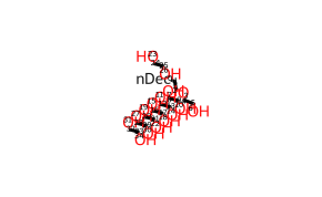 CCCCCCCCCCCCOCCO.OCCO.OCCO.OCCO.OCCO.OCCO.OCCO.OCCO